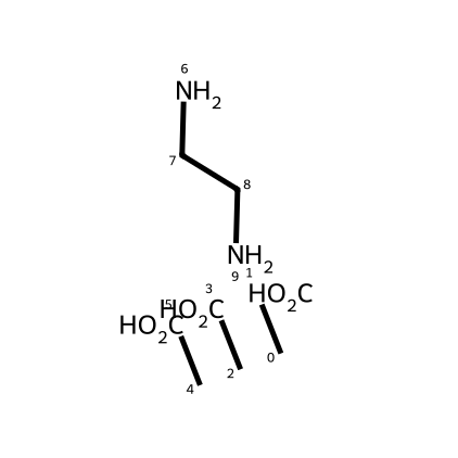 CC(=O)O.CC(=O)O.CC(=O)O.NCCN